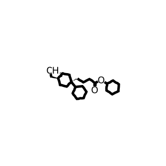 CC[C@H]1CC[C@@](CCCC(=O)OC2CCCCC2)(C2CCCCC2)CC1